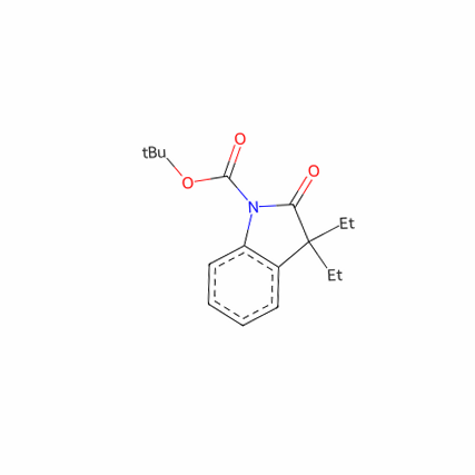 CCC1(CC)C(=O)N(C(=O)OC(C)(C)C)c2ccccc21